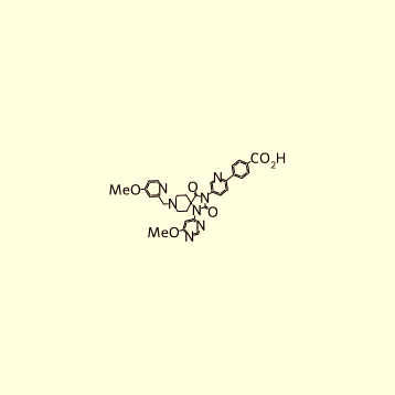 COc1ccnc(CN2CCC3(CC2)C(=O)N(c2ccc(-c4ccc(C(=O)O)cc4)nc2)C(=O)N3c2cc(OC)ncn2)c1